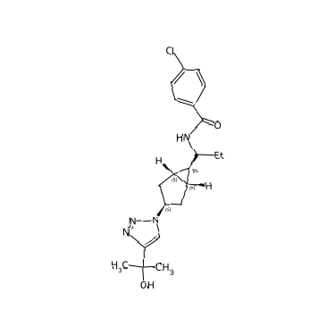 CCC(NC(=O)c1ccc(Cl)cc1)[C@H]1[C@@H]2C[C@@H](n3cc(C(C)(C)O)nn3)C[C@@H]21